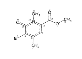 COC(=O)c1cc(C)c(Br)c(=O)n1N